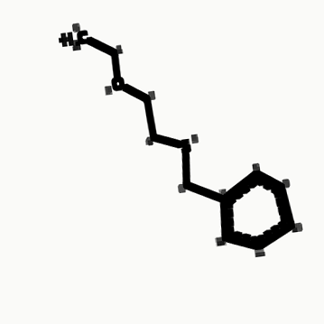 [CH2]COCCSCc1ccccc1